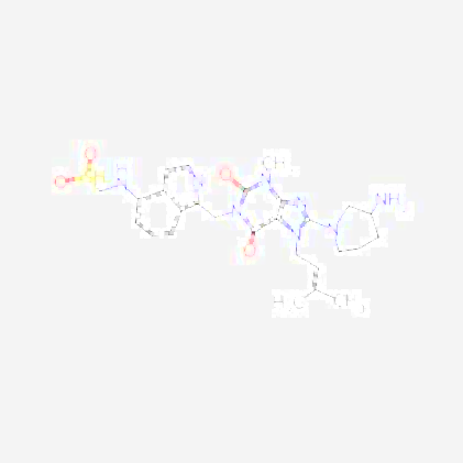 CC(C)=CCn1c(N2CCCC(N)C2)nc2c1c(=O)n(Cc1nccc3c(NC[SH](=O)=O)cccc13)c(=O)n2C